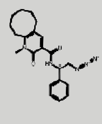 Cn1c2c(cc(C(=O)N[C@@H](CN=[N+]=[N-])c3ccccc3)c1=O)CCCCCC2